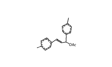 CC(=O)OC(/C=C/c1ccc(C)cc1)c1ccc(C)cc1